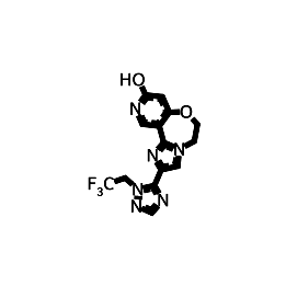 Oc1cc2c(cn1)-c1nc(-c3ncnn3CC(F)(F)F)cn1CCO2